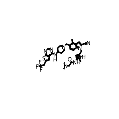 Cc1c(CN2CCC(Nc3ncnc4sc(CC(F)(F)F)cc34)CC2)ccc2c1cc(C#N)n2CC12CC(NC(=O)CN(C)C)(C1)[C@H]2C